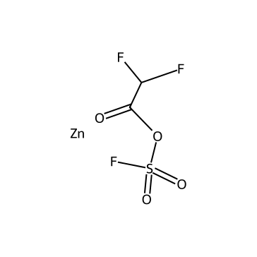 O=C(OS(=O)(=O)F)C(F)F.[Zn]